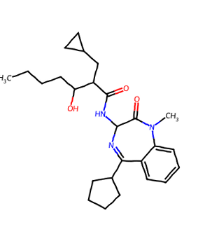 CCCCC(O)C(CC1CC1)C(=O)NC1N=C(C2CCCC2)c2ccccc2N(C)C1=O